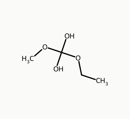 CCOC(O)(O)OC